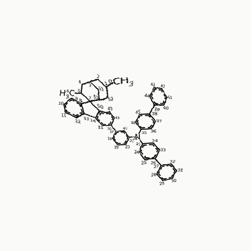 CC1CC2CC(C)C3(c4ccccc4-c4cc(-c5cccc(N(c6ccc(-c7ccccc7)cc6)c6ccc(-c7ccccc7)cc6)c5)ccc43)C(C1)C2